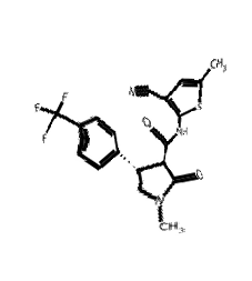 Cc1cc(C#N)c(NC(=O)[C@H]2C(=O)N(C)C[C@@H]2c2ccc(C(F)(F)F)cc2)s1